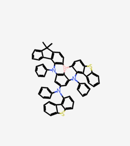 CC1(C)c2ccccc2-c2c1ccc1c2N(c2ccccc2)c2cc(N(c3ccccc3)c3cccc4sc5ccccc5c34)cc3c2B1c1ccc2sc4ccccc4c2c1N3c1ccccc1